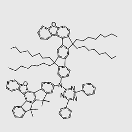 CCCCCCCCC1(CCCCCCCC)c2cc(N(c3ccc4c(c3)C(C)(C)c3c5c(c6c(oc7ccccc76)c3-4)-c3ccccc3C5(C)C)c3nc(-c4ccccc4)nc(-c4ccccc4)n3)ccc2-c2cc3c(cc21)-c1c(ccc2oc4ccccc4c12)C3(CCCCCCCC)CCCCCCCC